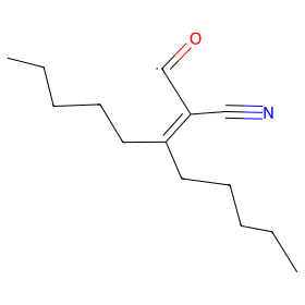 CCCCCC(CCCCC)=C([C]=O)C#N